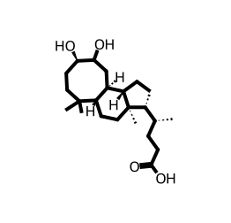 C[C@H](CCC(=O)O)[C@H]1CC[C@H]2[C@@H]3CC(O)[C@H](O)CCC(C)(C)[C@H]3CC[C@]12C